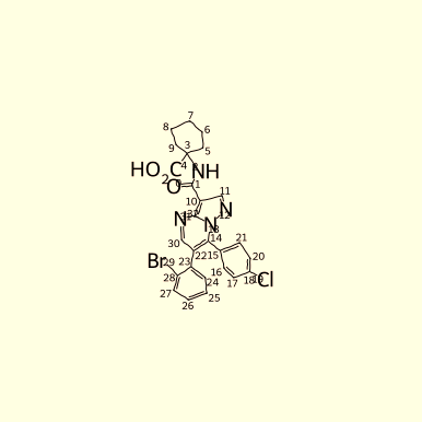 O=C(NC1(C(=O)O)CCCCC1)c1cnn2c(-c3ccc(Cl)cc3)c(-c3ccccc3Br)cnc12